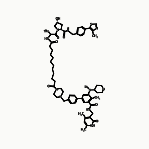 CCN(c1cc(-c2ccc(CN3CCN(C(=O)CCCCCCCCCCC(=O)N[C@H](C(=O)N4C[C@H](O)C[C@H]4C(=O)NCc4ccc(-c5scnc5C)cc4)C(C)(C)C)CC3)cc2)cc(C(=O)NCc2c(C)cc(C)[nH]c2=O)c1C)C1CCOCC1